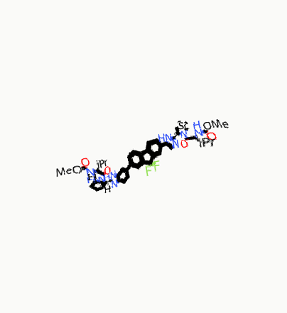 COC(=O)N[C@H](C(=O)N1C[Si](C)(C)C[C@H]1c1ncc(-c2ccc3c(c2)C(F)(F)c2cc(-c4ccc5nc([C@@H]6[C@H]7CC[C@H](C7)N6C(=O)[C@@H](NC(=O)OC)C(C)C)[nH]c5c4)ccc2-3)[nH]1)C(C)C